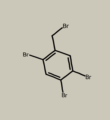 BrCc1cc(Br)c(Br)cc1Br